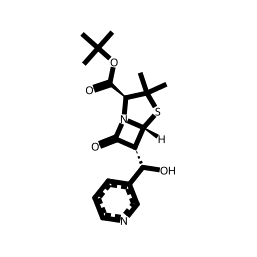 CC(C)(C)OC(=O)[C@@H]1N2C(=O)[C@@H](C(O)c3cccnc3)[C@H]2SC1(C)C